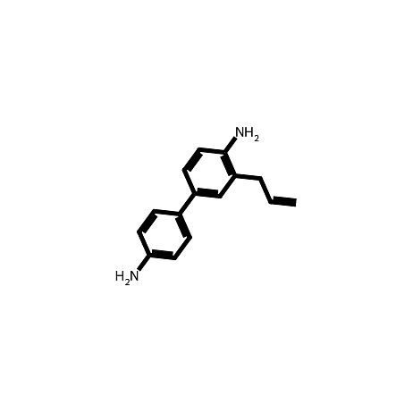 C=CCc1cc(-c2ccc(N)cc2)ccc1N